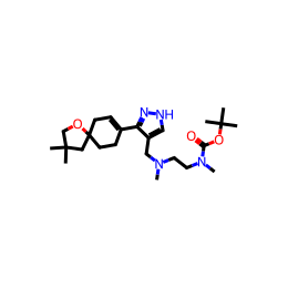 CN(CCN(C)C(=O)OC(C)(C)C)Cc1c[nH]nc1C1=CCC2(CC1)CC(C)(C)CO2